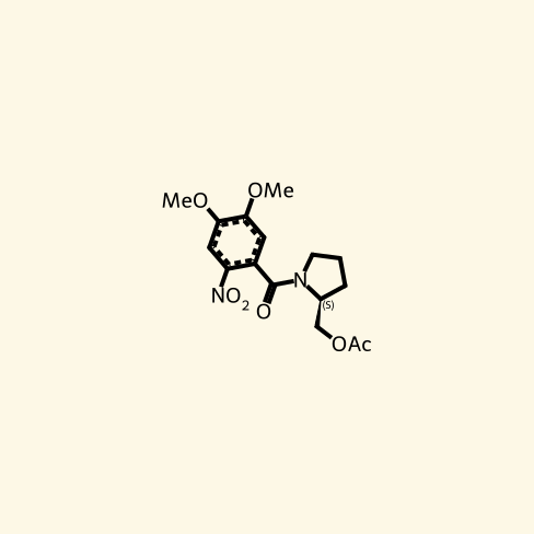 COc1cc(C(=O)N2CCC[C@H]2COC(C)=O)c([N+](=O)[O-])cc1OC